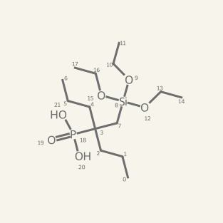 CCCC(CCC)(C[Si](OCC)(OCC)OCC)P(=O)(O)O